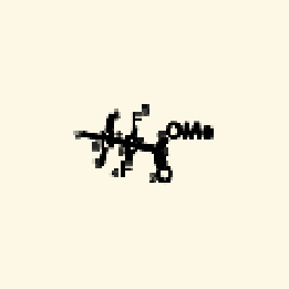 COC(=O)[B-](F)(F)[N+](C)(C)C